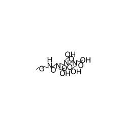 CCOCCNC(=O)CN(CCN(CCN(CC(=O)O)CC(=O)O)CC(=O)O)CC(=O)O